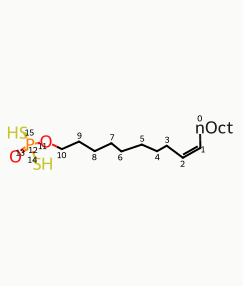 CCCCCCCC/C=C\CCCCCCCCOP(=O)(S)S